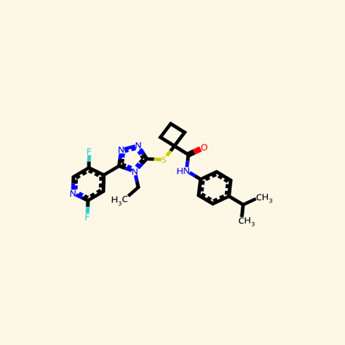 CCn1c(SC2(C(=O)Nc3ccc(C(C)C)cc3)CCC2)nnc1-c1cc(F)ncc1F